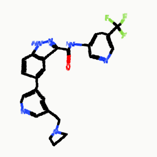 O=C(Nc1cncc(C(F)(F)F)c1)c1n[nH]c2ccc(-c3cncc(CN4CCC4)c3)cc12